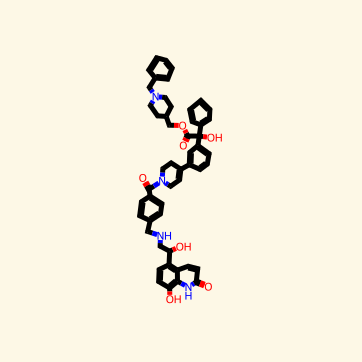 O=C(c1ccc(CNCC(O)c2ccc(O)c3[nH]c(=O)ccc23)cc1)N1CC=C(c2cccc(C(O)(C(=O)OCC3CCN(Cc4ccccc4)CC3)c3ccccc3)c2)CC1